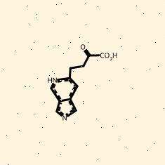 O=C(O)C(=O)CCc1cc2cncc-2c[nH]1